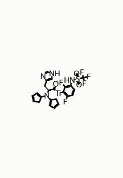 O=[C]([Ti][c]1c(F)ccc(NS(=O)(=O)C(F)(F)F)c1F)[C@H](Cc1c[nH]cn1)N(C1=CC=CC1)C1=CC=CC1